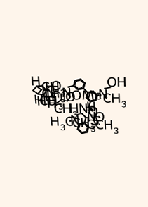 COc1c(CN2OC[C@@H]([C@H](C)O)[C@H]2C(=O)N[C@H]2C[C@H]3C[C@@H]([C@@H]2C)C3(C)C)cccc1-c1cc(C(=O)N[C@H](CN(C)C)[C@@H](NS(C)(=O)=O)c2ccccc2)cc(N(C)CCO)c1